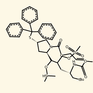 C=CCOC(=O)N1C[C@@H](SC(c2ccccc2)(c2ccccc2)c2ccccc2)C[C@@H]1C(O[SiH](C)C)C(COS(C)(=O)=O)C[C@@H](CC(C)(C)C)NC(=O)OC(C)(C)C